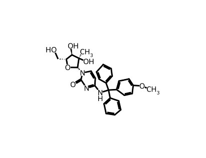 COc1ccc(C(Nc2ccn([C@@H]3O[C@H](CO)[C@@H](O)[C@@]3(C)O)c(=O)n2)(c2ccccc2)c2ccccc2)cc1